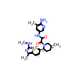 C=C(/C=C\c1sc(NC)nc1C)[C@@H]1CC[C@@H](C)CN1C(=O)C(=O)Nc1cnc(N)c(C)c1